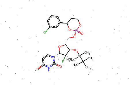 CC(C)(C)[Si](C)(C)O[C@@H]1[C@@H](CO[P@]2(=O)OCC[C@H](c3cccc(Cl)c3)O2)O[C@@H](n2ccc(=O)[nH]c2=O)[C@]1(C)F